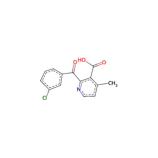 Cc1ccnc(C(=O)c2cccc(Cl)c2)c1C(=O)O